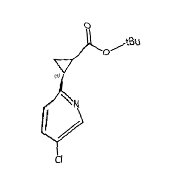 CC(C)(C)OC(=O)C1C[C@@H]1c1ccc(Cl)cn1